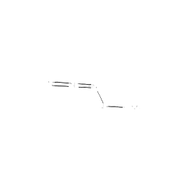 C[O][Sn][N]=[N+]=[N-]